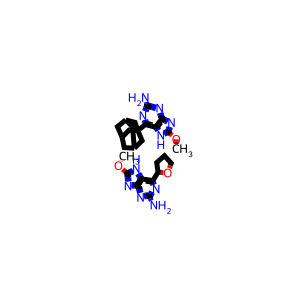 COc1nc2nc(N)nc(C34CC5CC(CC(C5)C3)C4)c2[nH]1.COc1nc2nc(N)nc(C3CCCO3)c2[nH]1